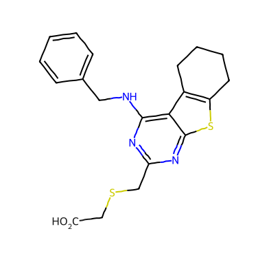 O=C(O)CSCc1nc(NCc2ccccc2)c2c3c(sc2n1)CCCC3